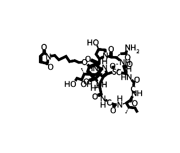 CC[C@H](C)[C@@H]1NC(=O)CNC(=O)[C@@H]2Cc3c([nH]c4cc(OCCCCCCN5C(=O)C=CC5=O)ccc34)[S+]([O-])C[C@H](NC(=O)CNC1=O)C(=O)N[C@@H](CC(N)=O)C(=O)N1C[C@H](O)CC1C(=O)N[C@@H]([C@@H](C)[C@@H](O)CO)C(=O)N2